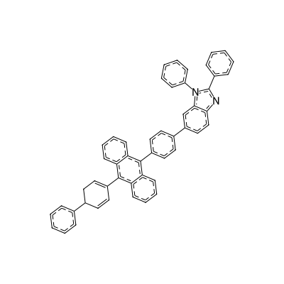 C1=CC(c2ccccc2)CC=C1c1c2ccccc2c(-c2ccc(-c3ccc4nc(-c5ccccc5)n(-c5ccccc5)c4c3)cc2)c2ccccc12